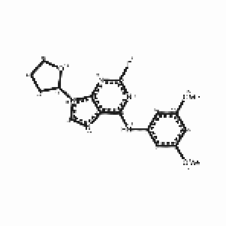 COc1cc(Nc2nc(F)nc3c2ncn3C2CCCO2)cc(OC)c1